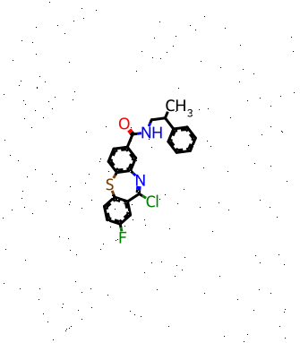 CC(CNC(=O)c1ccc2c(c1)N=C(Cl)c1cc(F)ccc1S2)c1ccccc1